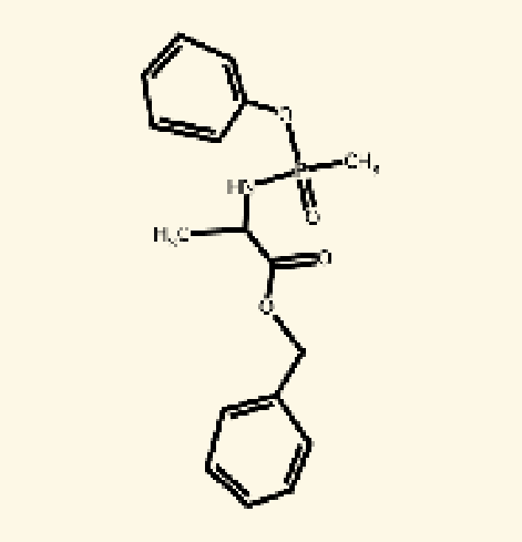 CC(NP(C)(=O)Oc1ccccc1)C(=O)OCc1ccccc1